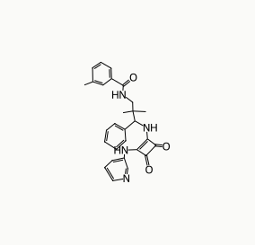 Cc1cccc(C(=O)NCC(C)(C)C(Nc2c(Nc3cccnc3)c(=O)c2=O)c2ccccc2)c1